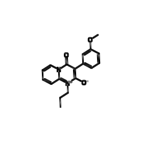 CCC[n+]1c([O-])c(-c2cccc(OC)c2)c(=O)n2ccccc21